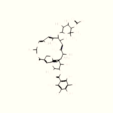 CCC1/C=C(\C)C(O)C/C=C/C=C(\COC2OC(C)C(OC(=O)c3c(C)c(Cl)c(O)c(Cl)c3O)C(O)C2OC)C(=O)OC(C(C)=O)C/C=C(C)/C=C(\C)C1OC1OC(C)(C)C(OC(=O)C(C)C)C(O)C1O